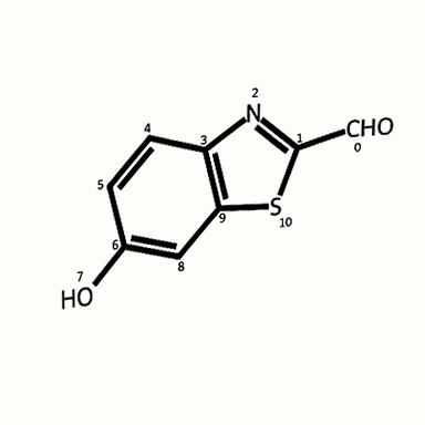 O=Cc1nc2ccc(O)cc2s1